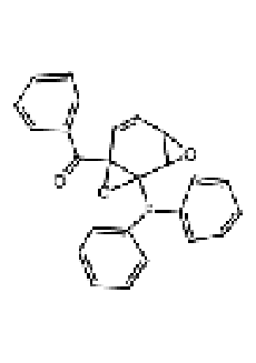 O=C(c1ccccc1)C12C=CC3OC3C1(P(c1ccccc1)c1ccccc1)O2